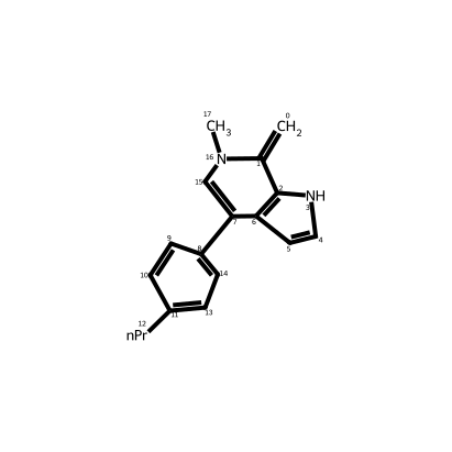 C=C1c2[nH]ccc2C(c2ccc(CCC)cc2)=CN1C